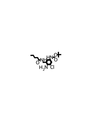 CCCCC(=O)NCc1cc(NC(=O)OC(C)(C)C)cc(Cl)c1N